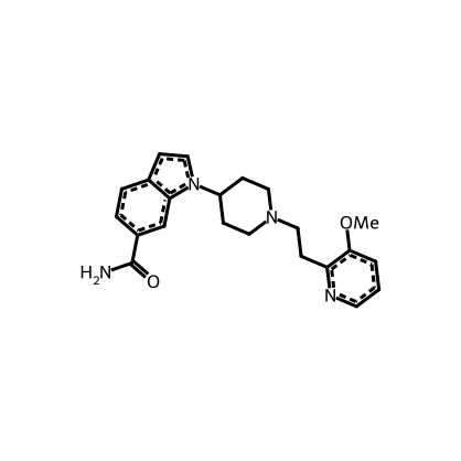 COc1cccnc1CCN1CCC(n2ccc3ccc(C(N)=O)cc32)CC1